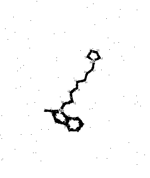 Cc1cc2ccccc2n1CCCCCCCCN1CCCC1